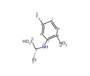 CC[C@@H](Nc1cc(F)ccc1[N+](=O)[O-])C(=O)O